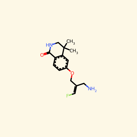 CC1(C)CNC(=O)c2ccc(OC/C(=C\F)CN)cc21